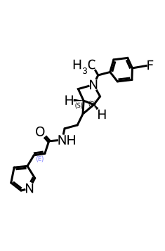 CC(c1ccc(F)cc1)N1C[C@@H]2C(CCNC(=O)/C=C/c3cccnc3)[C@@H]2C1